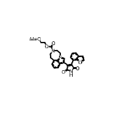 COCCOC(=O)N1CCc2cccc3c(C4=C(c5cccc6ccoc56)C(=O)NC4=O)cn(c23)CC1